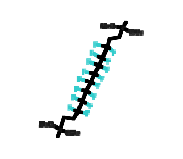 CO[Si](C)(CCC(F)(F)C(F)(F)C(F)(F)C(F)(F)C(F)(F)C(F)(F)C(F)(F)C(F)(F)CC[Si](C)(OC)OC)OC